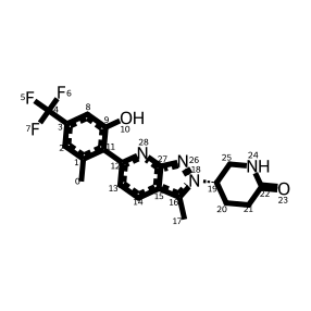 Cc1cc(C(F)(F)F)cc(O)c1-c1ccc2c(C)n([C@H]3CCC(=O)NC3)nc2n1